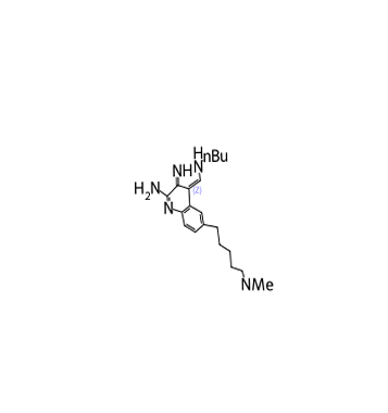 CCCCN/C=C1\C(=N)C(N)=Nc2ccc(CCCCCNC)cc21